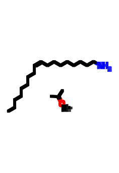 CC(C)=O.CCCCCCCC/C=C\CCCCCCCCN.[Rh]